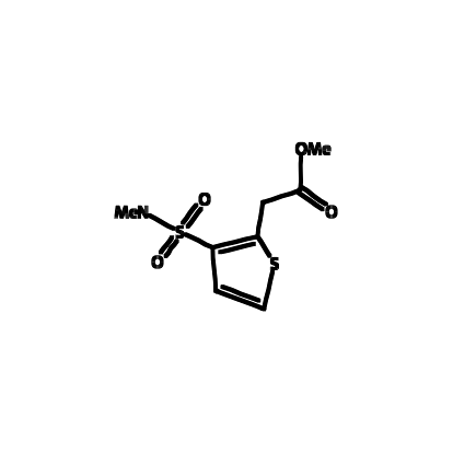 CNS(=O)(=O)c1ccsc1CC(=O)OC